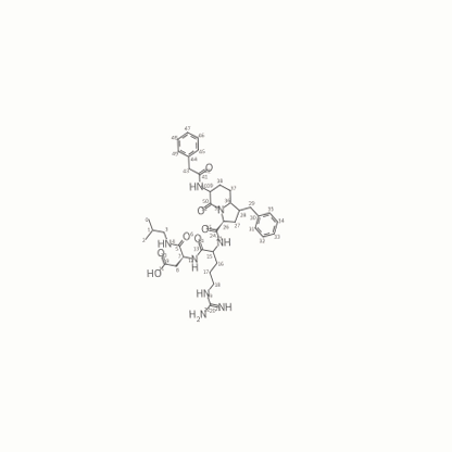 CC(C)CNC(=O)[C@H](CC(=O)O)NC(=O)C(CCCNC(=N)N)NC(=O)[C@@H]1CC(Cc2ccccc2)C2CCC(NC(=O)Cc3ccccc3)C(=O)N21